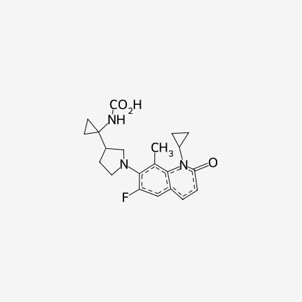 Cc1c(N2CCC(C3(NC(=O)O)CC3)C2)c(F)cc2ccc(=O)n(C3CC3)c12